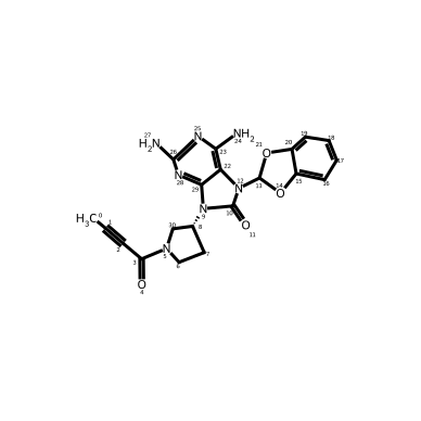 CC#CC(=O)N1CC[C@@H](n2c(=O)n(C3Oc4ccccc4O3)c3c(N)nc(N)nc32)C1